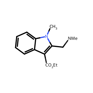 CCOC(=O)c1c(CNC)n(C)c2ccccc12